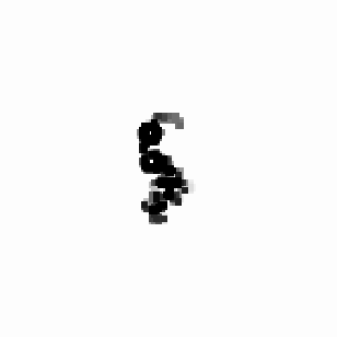 COc1ccc(CN2CCc3c(sc4nc(O)c(C(=O)NCC(=O)O)c(=O)n34)C2)cc1